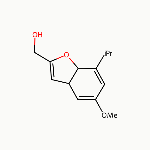 COC1=CC2C=C(CO)OC2C(C(C)C)=C1